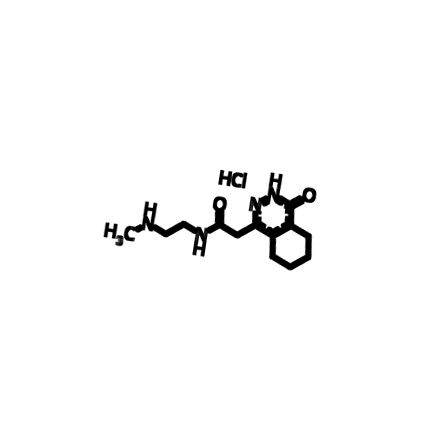 CNCCNC(=O)Cc1n[nH]c(=O)c2c1CCCC2.Cl